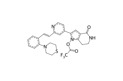 O=C1NCCc2c1cc(-c1ccnc(C=Cc3ccccc3N3CCSCC3)c1)n2OC(=O)C(F)(F)F